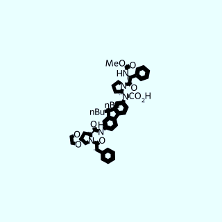 CCCCC1(CCCC)c2cc(NC(=O)[C@@H]3CC4(CN3C(=O)[CH]c3ccccc3)OCCO4)ccc2-c2ccc(N(C(=O)O)[C@H]3CCCN3C(=O)[C@H](NC(=O)OC)c3ccccc3)cc21